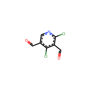 O=Cc1cnc(Cl)c(C=O)c1Cl